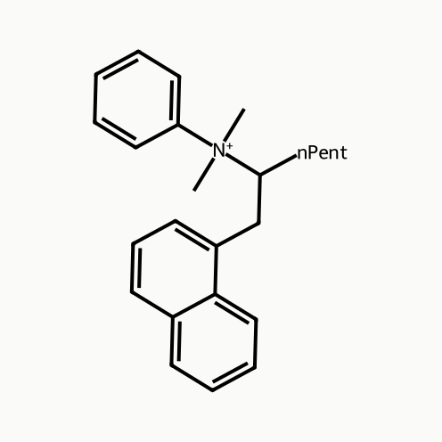 CCCCCC(Cc1cccc2ccccc12)[N+](C)(C)c1ccccc1